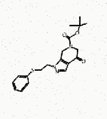 CC(C)(C)OC(=O)N1CC(=O)c2cnn(CCSc3ccccc3)c2C1